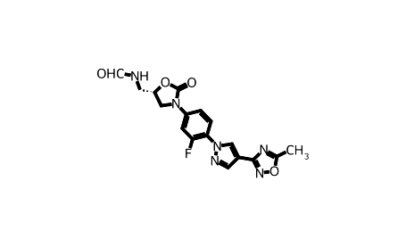 Cc1nc(-c2cnn(-c3ccc(N4C[C@H](CNC=O)OC4=O)cc3F)c2)no1